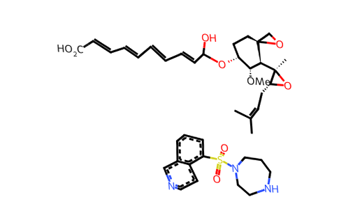 CO[C@@H]1[C@H](OC(O)/C=C/C=C/C=C/C=C/C(=O)O)CC[C@]2(CO2)[C@H]1[C@@]1(C)O[C@@H]1CC=C(C)C.O=S(=O)(c1cccc2cnccc12)N1CCCNCC1